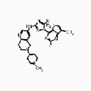 Cc1csc2c(-n3nc(Nc4cnc5c(c4)CN(C4CCN(C)CC4)CC5)nc3N)nc(Cl)nc12